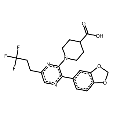 O=C(O)C1CCN(c2nc(CCC(F)(F)F)cnc2-c2ccc3c(c2)OCO3)CC1